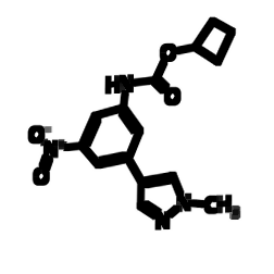 Cn1cc(-c2cc(NC(=O)OC3CCC3)cc([N+](=O)[O-])c2)cn1